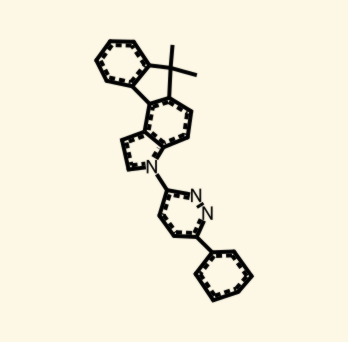 CC1(C)c2ccccc2-c2c1ccc1c2ccn1-c1ccc(-c2ccccc2)nn1